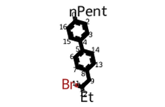 CCCCCc1ccc(-c2ccc(CC(Br)CC)cc2)cc1